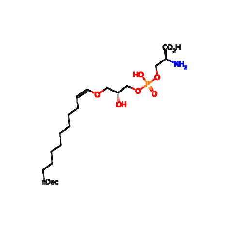 CCCCCCCCCCCCCCCCCC/C=C\OC[C@@H](O)COP(=O)(O)OC[C@H](N)C(=O)O